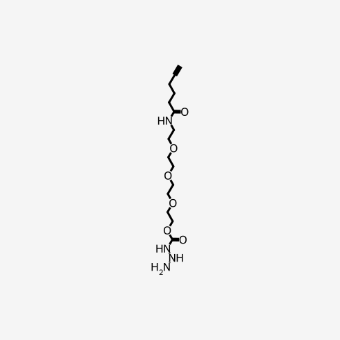 C#CCCCC(=O)NCCOCCOCCOCCOC(=O)NNN